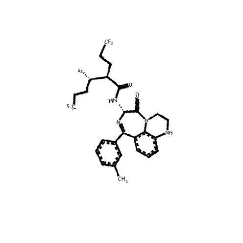 CC(=O)[C@@H](CCC(F)(F)F)[C@@H](CCC(F)(F)F)C(=O)N[C@H]1N=C(c2cccc(C)c2)c2cccc3c2N(CCN3)C1=O